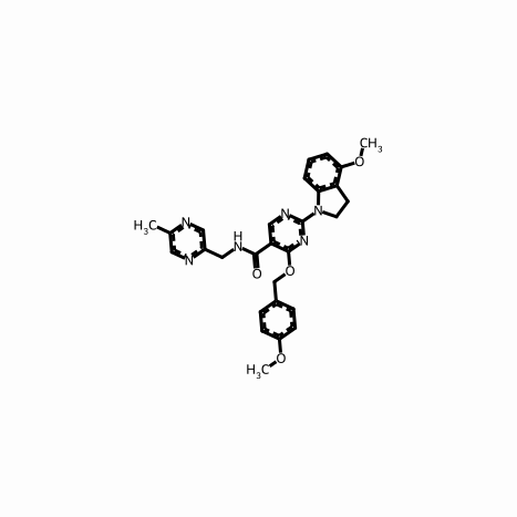 COc1ccc(COc2nc(N3CCc4c(OC)cccc43)ncc2C(=O)NCc2cnc(C)cn2)cc1